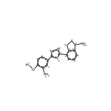 CC(C)Oc1ccc(-c2nnc(-c3cccc4c3CCC4N)s2)cc1N